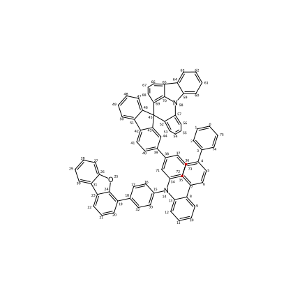 c1ccc(-c2ccc(-c3ccccc3N(c3ccc(-c4cccc5c4oc4ccccc45)cc3)c3cccc(-c4ccc5c(c4)C4(c6ccccc6-5)c5ccccc5-n5c6ccccc6c6cccc4c65)c3)cc2)cc1